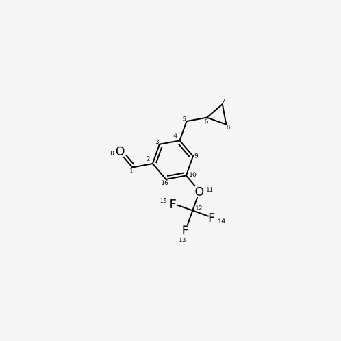 O=Cc1cc(CC2CC2)cc(OC(F)(F)F)c1